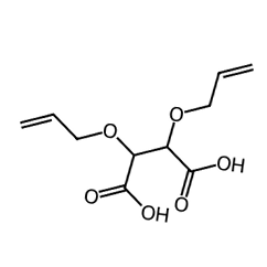 C=CCOC(C(=O)O)C(OCC=C)C(=O)O